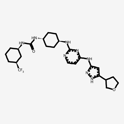 O=C(N[C@@H]1CCC[C@H](C(F)(F)F)C1)N[C@H]1CC[C@H](Nc2nccc(Nc3cc(C4CCOC4)[nH]n3)n2)CC1